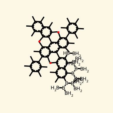 BBB(B)B(B(B)B)c1c(B(B(B)B)B(B)B)c(C)c(C)c2c(C)c(-c3c4c(C)c(C)c(-c5c(C)c(C)c(C)c(C)c5C)c(C)c4c(-c4c(C)c(C)c5c(C)c(C)c(C)c(C)c5c4C)c4c(C)c(C)c(-c5c(C)c(C)c(C)c(C)c5C)c(C)c34)c(BB)c(B)c12